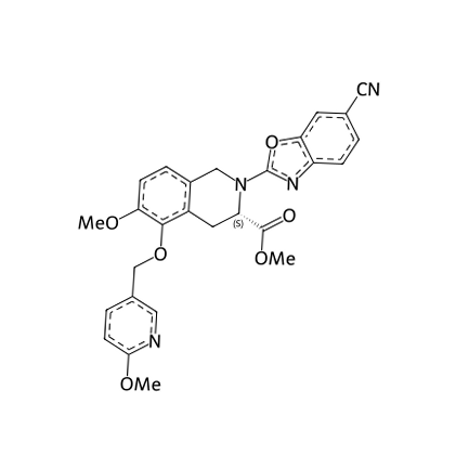 COC(=O)[C@@H]1Cc2c(ccc(OC)c2OCc2ccc(OC)nc2)CN1c1nc2ccc(C#N)cc2o1